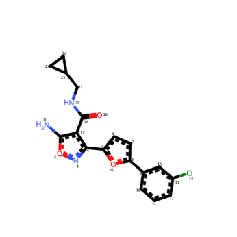 Nc1onc(-c2ccc(-c3cccc(Cl)c3)o2)c1C(=O)NCC1CC1